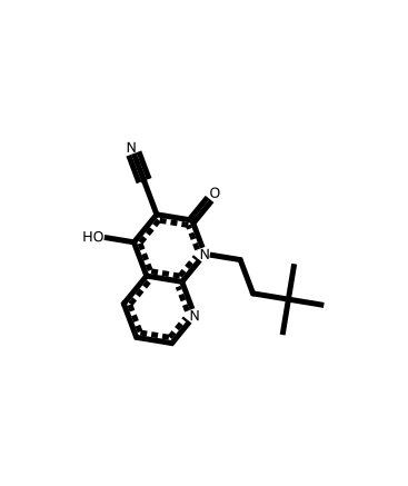 CC(C)(C)CCn1c(=O)c(C#N)c(O)c2cccnc21